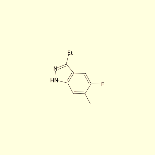 CCc1n[nH]c2cc(C)c(F)cc12